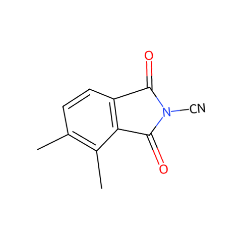 Cc1ccc2c(c1C)C(=O)N(C#N)C2=O